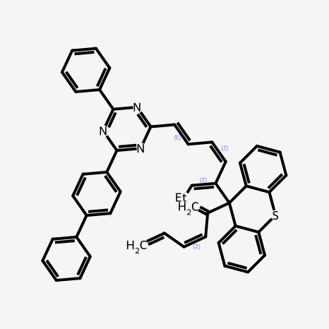 C=C/C=C\C(=C)C1(C(/C=C\C=C\c2nc(-c3ccccc3)nc(-c3ccc(-c4ccccc4)cc3)n2)=C\CC)c2ccccc2Sc2ccccc21